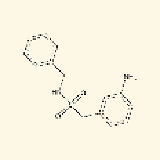 Nc1cccc(CS(=O)(=O)NCc2ccccc2)c1